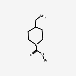 CC(C)OC(=O)N1CCC(CN)CC1